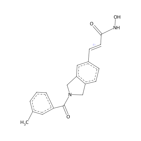 Cc1cccc(C(=O)N2Cc3ccc(/C=C/C(=O)NO)cc3C2)c1